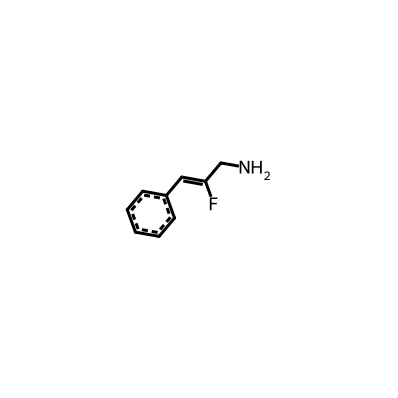 NCC(F)=Cc1ccccc1